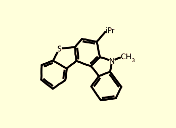 CC(C)c1cc2sc3ccccc3c2c2c3ccccc3n(C)c12